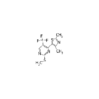 CSc1ncc(C(F)(F)F)c(-c2sc(C)nc2C)n1